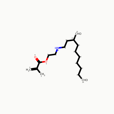 C=C(C)C(=O)OCCNCCC(C=O)CCCCCCC=O